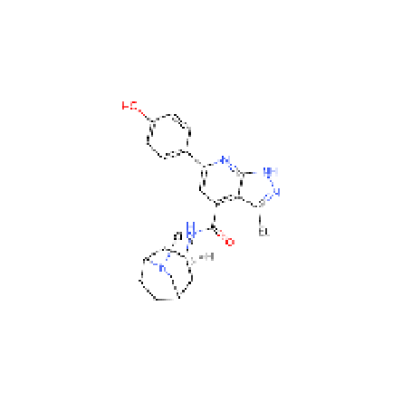 CCc1n[nH]c2nc(-c3ccc(O)cc3)cc(C(=O)N[C@H]3CC4CCC(C3)N(C)C4)c12